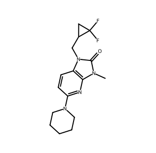 Cn1c(=O)n(CC2CC2(F)F)c2ccc(N3CCCCC3)nc21